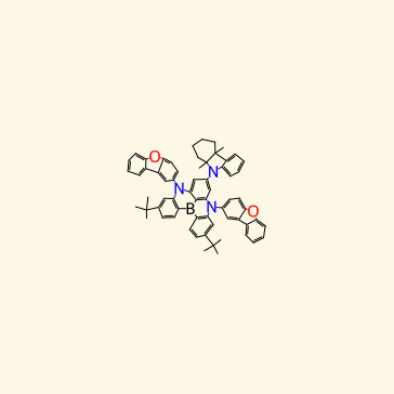 CC(C)(C)c1ccc2c(c1)N(c1ccc3oc4ccccc4c3c1)c1cc(N3c4ccccc4C4(C)CCCCC34C)cc3c1B2c1ccc(C(C)(C)C)cc1N3c1ccc2oc3ccccc3c2c1